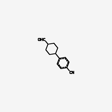 N#Cc1ccc(C2CCC(C=O)CC2)cc1